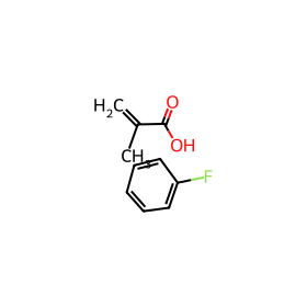 C=C(C)C(=O)O.Fc1ccccc1